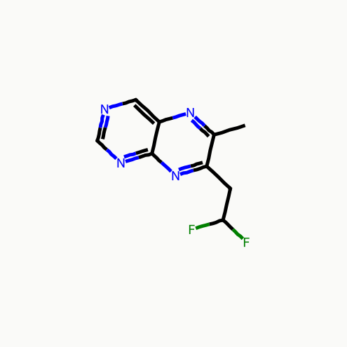 Cc1nc2cncnc2nc1CC(F)F